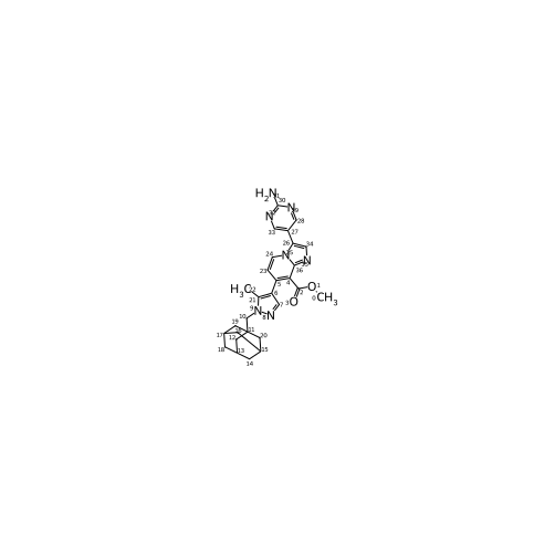 COC(=O)c1c(-c2cnn(CC34CC5CC(CC(C5)C3)C4)c2C)ccn2c(-c3cnc(N)nc3)cnc12